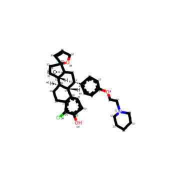 C[C@]12C[C@H](c3ccc(OCCN4CCCCC4)cc3)[C@@H]3c4ccc(O)c(Cl)c4CC[C@H]3[C@@H]1CCC21C=CCO1